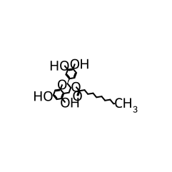 CCCCCCCCCC(=O)O[C@@H]1Cc2c(O)cc(O)cc2O[C@H]1c1ccc(O)c(O)c1